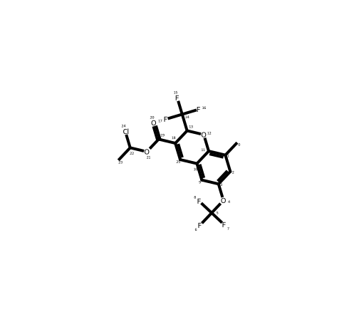 Cc1cc(OC(F)(F)F)cc2c1OC(C(F)(F)F)C(C(=O)OC(C)Cl)=C2